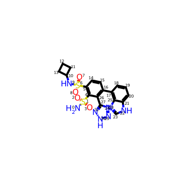 NS(=O)(=O)c1c(S(=O)(=O)NC2CCC2)ccc(-c2cccc3[nH]cnc23)c1-c1nn[nH]n1